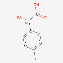 Cc1ccc([C@H](O)C(=O)O)cc1